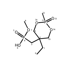 CCC1(CP(=O)(O)OC)COP(C)(=O)OC1